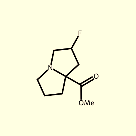 COC(=O)C12CCCN1CC(F)C2